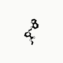 CCOC(=O)C1CCCN(CCOc2cccc3cccnc23)C1